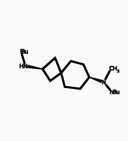 CCCCN(C)[C@H]1CCC2(CC1)C[C@H](NC(C)CC)C2